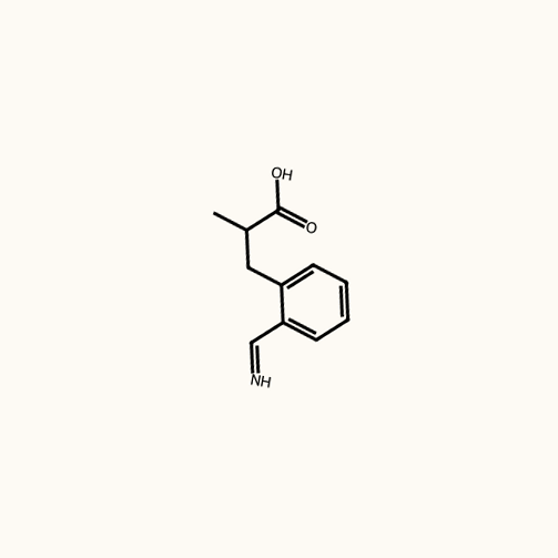 CC(Cc1ccccc1C=N)C(=O)O